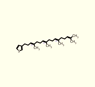 CC(C)=CCC/C(C)=C/CC/C(C)=C/CC/C(C)=C/CCc1ccsc1